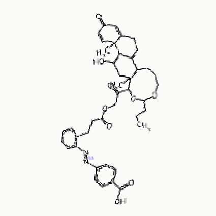 CCCC1OCCCC2C3CCC4=CC(=O)C=CC4(C)C3C(O)CC2(C)C(C(=O)COC(=O)CCc2ccccc2/N=N/c2ccc(C(=O)O)cc2)O1